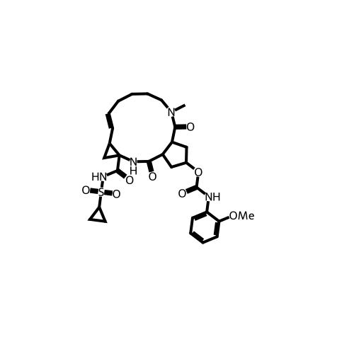 COc1ccccc1NC(=O)OC1CC2C(=O)NC3(C(=O)NS(=O)(=O)C4CC4)CC3/C=C/CCCCN(C)C(=O)C2C1